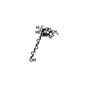 C=C(C)C(=O)O.C=C(C)C(=O)O.OCCOCCOCCOCCO.S